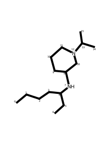 CCCCC(CC)NC1CCCN(C(C)C)C1